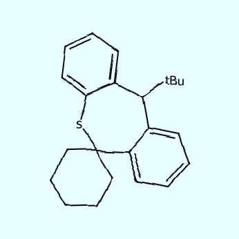 CC(C)(C)C1c2ccccc2SC2(CCCCC2)c2ccccc21